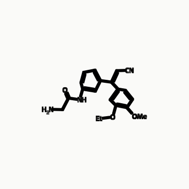 CCOc1cc(/C(=C\C#N)c2cccc(NC(=O)CN)c2)ccc1OC